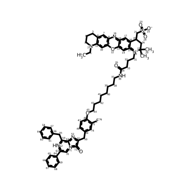 CCN1CCCc2cc3c(cc21)Oc1cc2c(cc1=N3)C(CS(=O)(=O)[O-])CC(C)(C)[N+]=2CCCC(=O)NCCCCCCCCOc1ccc(Cc2nc3c(Cc4ccccc4)[nH]c(-c4ccccc4)cn-3c2=O)cc1F